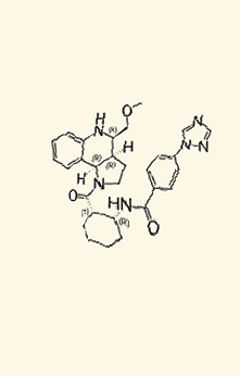 COC[C@@H]1Nc2ccccc2[C@H]2[C@@H]1CCN2C(=O)[C@H]1CCCC[C@H]1NC(=O)c1ccc(-n2cncn2)cc1